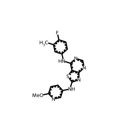 COc1ccc(Nc2nc3ncnc(Nc4ccc(F)c(C)c4)c3s2)cn1